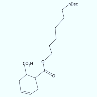 CCCCCCCCCCCCCCCCOC(=O)C1CC=CCC1C(=O)O